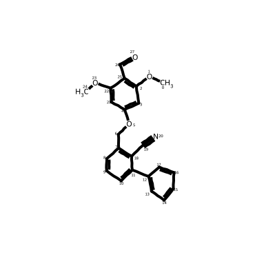 COc1cc(OCc2cccc(-c3ccccc3)c2C#N)cc(OC)c1C=O